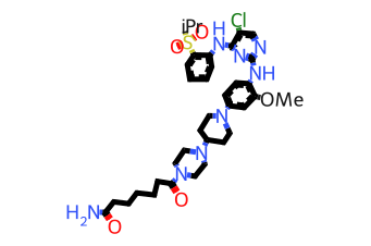 COc1cc(N2CCC(N3CCN(C(=O)CCCCCC(N)=O)CC3)CC2)ccc1Nc1ncc(Cl)c(Nc2ccccc2S(=O)(=O)C(C)C)n1